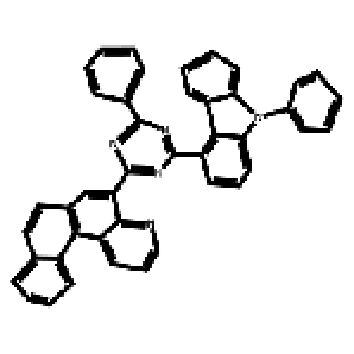 c1ccc(-c2nc(-c3cc4ccc5ccccc5c4c4cccnc34)nc(-c3cccc4c3c3ccccc3n4-c3ccccc3)n2)cc1